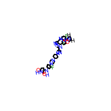 N#Cc1cnn2cc(-c3cnn(C4CCC(N5CCN(c6ccc(N[C@@H]7CCC(=O)NC7=O)cc6F)CC5)CC4)c3)nc(-c3ccc(N4C[C@H]5C[C@H](C4)N5C(=O)c4c(F)cccc4F)nc3)c12